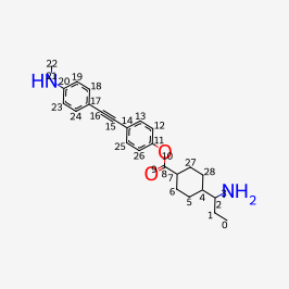 CCC(N)C1CCC(C(=O)Oc2ccc(C#Cc3ccc(NC)cc3)cc2)CC1